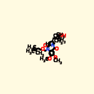 COc1cc2c(cc1OC)N(COCC[Si](C)(C)C)C(=O)[C@@H]1C[C@@H](CC(C)(C)[Si](C)(C)O)CN1C2=O